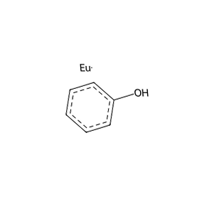 Oc1ccccc1.[Eu]